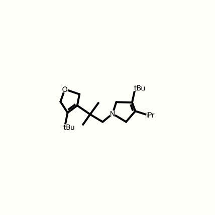 CC(C)C1=C(C(C)(C)C)CN(CC(C)(C)C2=C(C(C)(C)C)COC2)C1